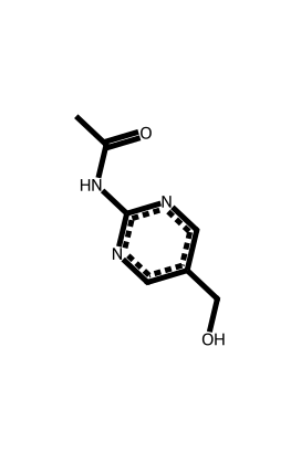 CC(=O)Nc1ncc(CO)cn1